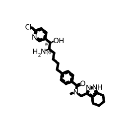 CN(Cc1n[nH]c2c1CCCC2)C(=O)c1ccc(CCCC[C@@H](N)[C@H](O)c2ccc(Cl)nc2)cc1